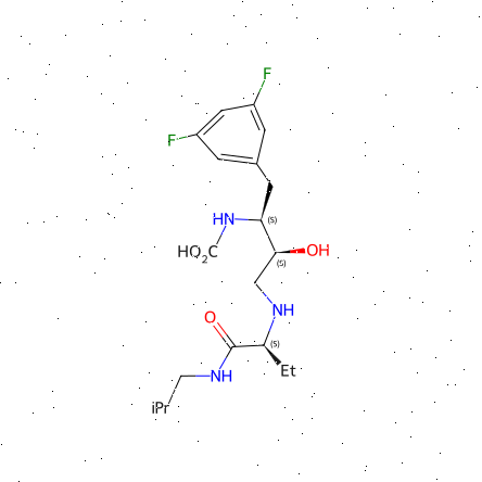 CC[C@H](NC[C@H](O)[C@H](Cc1cc(F)cc(F)c1)NC(=O)O)C(=O)NCC(C)C